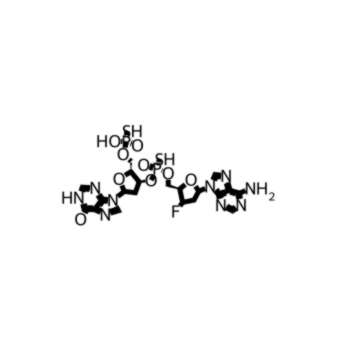 Nc1ncnc2c1ncn2C1CC(F)[C@@H](COP(=O)(S)O[C@H]2CC(n3cnc4c(=O)[nH]cnc43)O[C@@H]2COP(=O)(O)S)O1